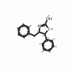 OC1=NC(Cc2ccccc2)C(c2ccccc2)S1